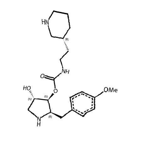 COc1ccc(C[C@H]2NC[C@H](O)[C@H]2OC(=O)NCC[C@H]2CCCNC2)cc1